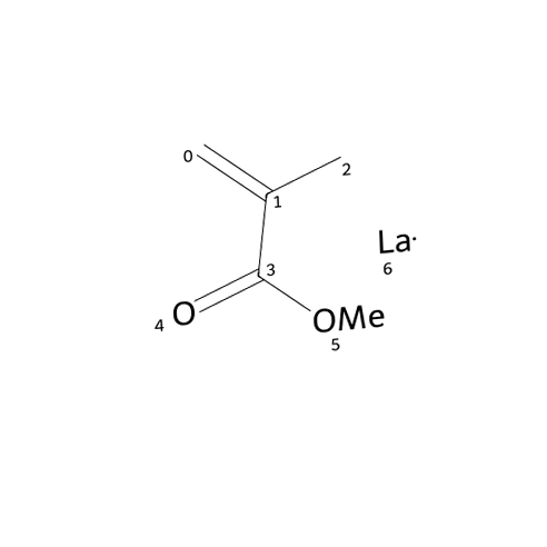 C=C(C)C(=O)OC.[La]